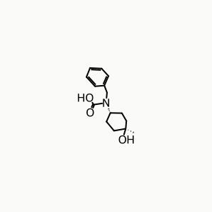 C[C@]1(O)CC[C@H](N(Cc2ccccc2)C(=O)O)CC1